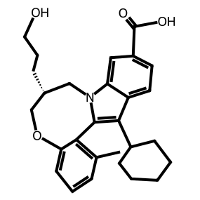 Cc1cccc2c1-c1c(C3CCCCC3)c3ccc(C(=O)O)cc3n1C[C@@H](CCCO)CO2